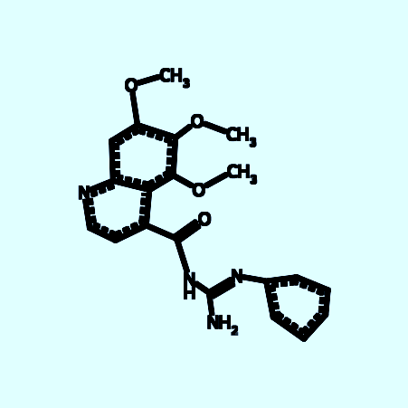 COc1cc2nccc(C(=O)NC(N)=Nc3ccccc3)c2c(OC)c1OC